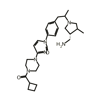 C/N=C(\C=C/N(C=O)c1ccc(CC(C)N2CC(C)[C@H](CN)C2)cc1)N1CCN(C(=O)C2CCC2)CC1